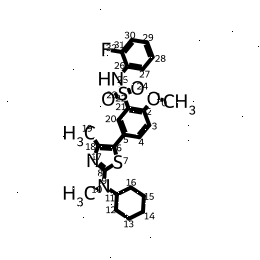 COc1ccc(-c2sc(N(C)C3CCCCC3)nc2C)cc1S(=O)(=O)Nc1ccccc1F